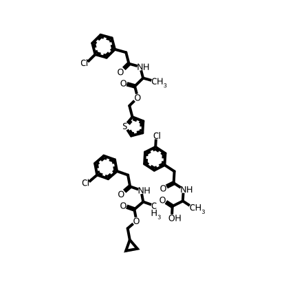 CC(NC(=O)Cc1cccc(Cl)c1)C(=O)O.CC(NC(=O)Cc1cccc(Cl)c1)C(=O)OCC1CC1.CC(NC(=O)Cc1cccc(Cl)c1)C(=O)OCc1cccs1